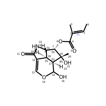 C/C=C(\C)C(=O)O[C@H]1[C@H]2NC(=O)C3=COC(O)[C@@H]([C@@H]32)[C@@]1(C)O